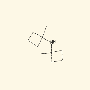 CC1(NC2(C)CCC2)CCC1